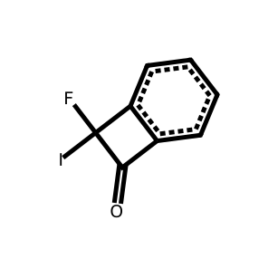 O=C1c2ccccc2C1(F)I